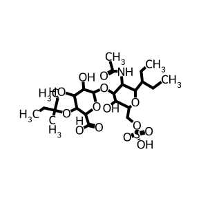 CCC(CC)C1OC(COS(=O)(=O)O)C(O)C(OC2OC(C(=O)O)C(OC(C)(CC)CC)C(O)C2O)C1NC(C)=O